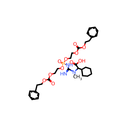 CN(C(=N)NP(=O)(OCCOC(=O)OCCc1ccccc1)OCCOC(=O)OCCc1ccccc1)C(C(=O)O)C1CCCCC1